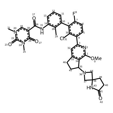 COc1nc(-c2ccc(F)c(-c3cccc(NC(=O)c4cn(C)c(=O)n(C)c4=O)c3C)c2Cl)cc2c1C(N1CC3(CCC(=O)N3)C1)CC2